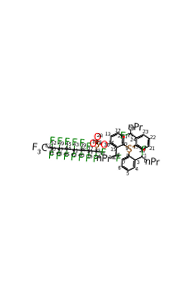 CCCC(F)c1ccccc1[S+](c1ccccc1C(F)CCC)c1ccccc1C(F)CCC.O=S(=O)([O-])C(F)(F)C(F)(F)C(F)(F)C(F)(F)C(F)(F)C(F)(F)C(F)(F)C(F)(F)F